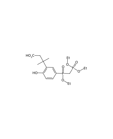 CCOP(=O)(CP(=O)(OCC)c1ccc(O)c(C(C)(C)CC(=O)O)c1)OCC